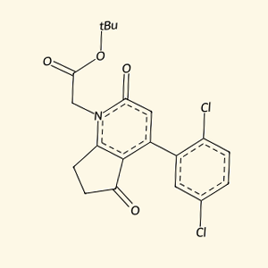 CC(C)(C)OC(=O)Cn1c2c(c(-c3cc(Cl)ccc3Cl)cc1=O)C(=O)CC2